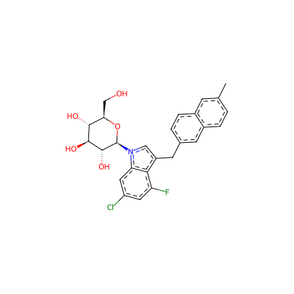 Cc1ccc2cc(Cc3cn([C@@H]4O[C@H](CO)[C@@H](O)[C@H](O)[C@H]4O)c4cc(Cl)cc(F)c34)ccc2c1